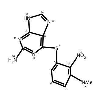 CNc1cccc(Sc2nc(N)nc3[nH]cnc23)c1[N+](=O)[O-]